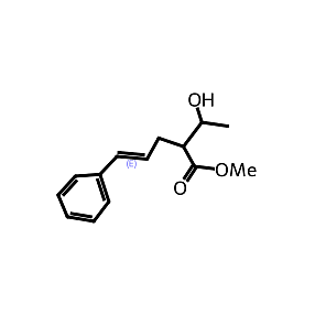 COC(=O)C(C/C=C/c1ccccc1)C(C)O